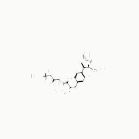 CCC(C)(C)CC(=O)CNC(=O)C(Cc1ccc(-c2cn(C)nc2NC(=O)O)cc1)NC(C)=O